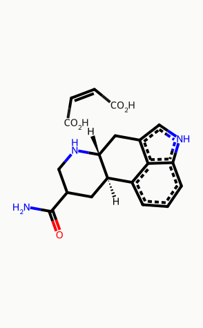 NC(=O)C1CN[C@@H]2Cc3c[nH]c4cccc(c34)[C@H]2C1.O=C(O)/C=C\C(=O)O